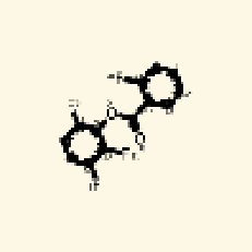 O=C(Oc1c(F)ccc(F)c1F)c1ccccc1F